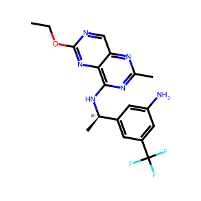 CCOc1ncc2nc(C)nc(N[C@H](C)c3cc(N)cc(C(F)(F)F)c3)c2n1